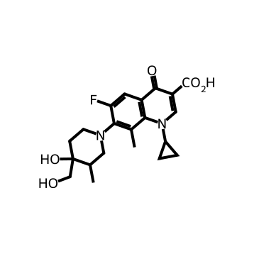 Cc1c(N2CCC(O)(CO)C(C)C2)c(F)cc2c(=O)c(C(=O)O)cn(C3CC3)c12